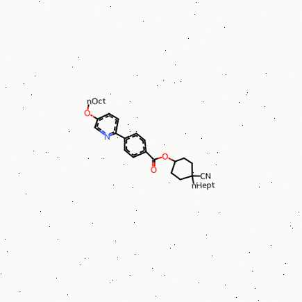 CCCCCCCCOc1ccc(-c2ccc(C(=O)OC3CCC(C#N)(CCCCCCC)CC3)cc2)nc1